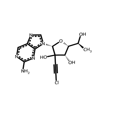 C[C@H](O)[C@H]1O[C@@H](n2cnc3cnc(N)nc32)C(O)(C#CCl)[C@H]1O